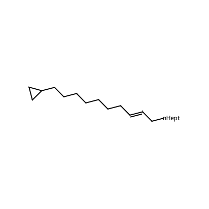 CCCCCCCC/[C]=C/CCCCCCCC1CC1